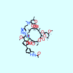 CC[C@H]1OC(=O)[C@H](C)[C@@H](O[C@H]2C[C@@](C)(OC)C[C@H](C)O2)[C@H](C)[C@@H](O[C@@H]2O[C@H](C)C[C@H](N(C)CCc3cn([C@H](CF)[C@H](OC)c4ccc(-c5cccc(CNC(C)=O)c5)cc4)nn3)[C@H]2O)[C@](C)(O)C[C@@H](C)CN(C)[C@H](C)[C@@H](O)[C@]1(C)O